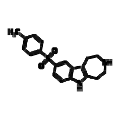 Cc1ccc(S(=O)(=O)c2ccc3[nH]c4c(c3c2)CCNCC4)cc1